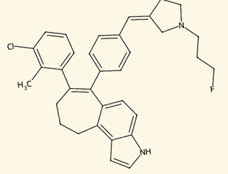 Cc1c(Cl)cccc1C1=C(c2ccc(C=C3CCN(CCCF)C3)cc2)c2ccc3[nH]ccc3c2CCC1